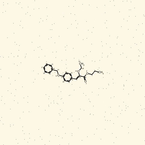 CCCOC(=O)/C(=C/c1ccc(OCc2ccccc2)cc1)OCC